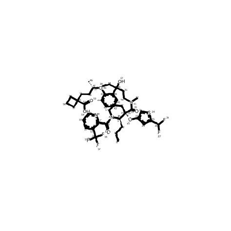 CCC[C@H]1N(C(=O)c2ncccc2C(F)(F)F)CCC[C@@]1(Oc1csc(C(F)F)c1)C(=O)N(C)CCC(O)(CC)c1ccccc1O[C@@H](C)CCC1(C(=O)O)CCC1